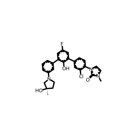 Cn1ccn(-c2ccc(-c3cc(F)cc(-c4cccc(N5CC[C@@](C)(O)C5)c4)c3O)cc2Cl)c1=O